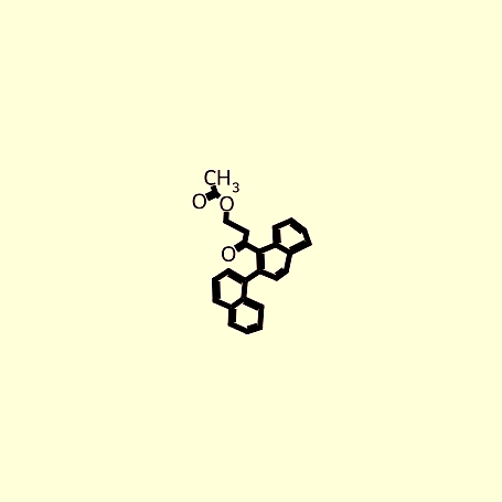 CC(=O)OCCC(=O)c1c(-c2cccc3ccccc23)ccc2ccccc12